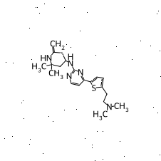 C=C1CC(Nc2nccc(-c3ccc(CCN(C)C)s3)n2)CC(C)(C)N1